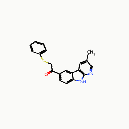 Cc1cnc2[nH]c3ccc(C(=O)CSc4ccccc4)cc3c2c1